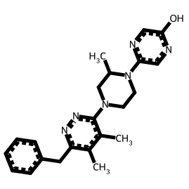 Cc1c(Cc2ccccc2)nnc(N2CCN(c3cnc(O)cn3)C(C)C2)c1C